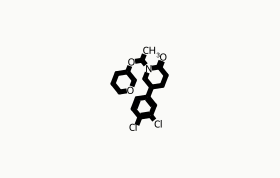 CC(OC1CCCOC1)N1CC(c2ccc(Cl)c(Cl)c2)CCC1=O